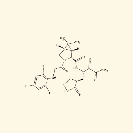 CNC(=O)C(=O)[C@H](C[C@@H]1CCNC1=O)NC(=O)[C@@H]1[C@@H]2[C@H](CN1C(=O)CNc1c(F)cc(F)cc1F)C2(C)C